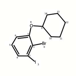 Brc1c(I)cccc1OC1CCCCC1